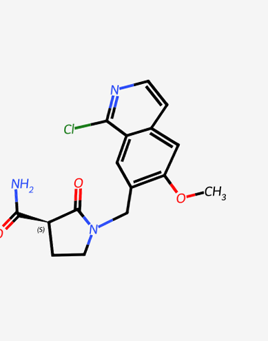 COc1cc2ccnc(Cl)c2cc1CN1CC[C@@H](C(N)=O)C1=O